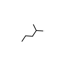 [CH2]C(C)[CH]CC